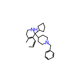 C/C=C\C1=C(C)CCNC1(C1CCCC1)C1CCN(Cc2ccccc2)CC1